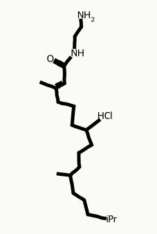 CC(=CC(=O)NCCN)CCCC(C)CCCC(C)CCCC(C)C.Cl